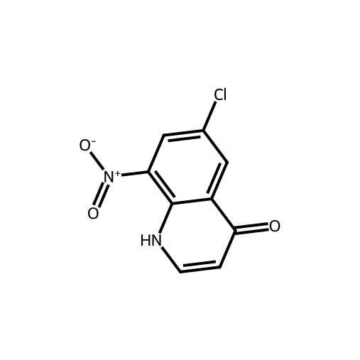 O=c1cc[nH]c2c([N+](=O)[O-])cc(Cl)cc12